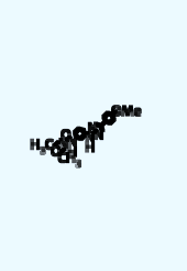 COc1ccc(-c2cnc(Nc3cccc(NC(=O)N4CC(C)OC(C)C4)c3)nc2)cc1